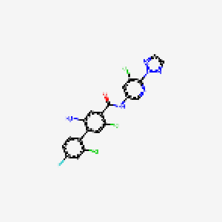 Nc1cc(C(=O)Nc2cnc(-n3nccn3)c(Cl)c2)c(Cl)cc1-c1ccc(F)cc1Cl